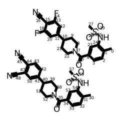 Cc1ccc(C(=O)N2CCC(c3cc(F)c(C#N)c(F)c3)CC2)cc1NS(C)(=O)=O.Cc1ccc(C(=O)N2CCC(c3ccc(C#N)c(C#N)c3)CC2)cc1NS(C)(=O)=O